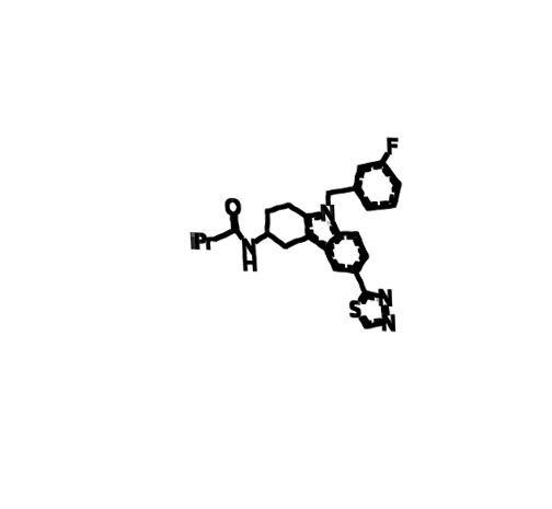 CC(C)C(=O)NC1CCc2c(c3cc(-c4nncs4)ccc3n2Cc2cccc(F)c2)C1